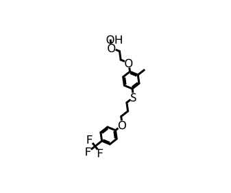 Cc1cc(SCCCOc2ccc(C(F)(F)F)cc2)ccc1OCCOO